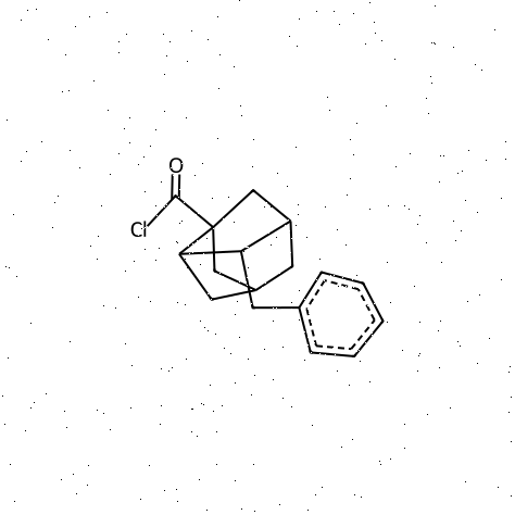 O=C(Cl)C12CC3CC(C1)C(Cc1ccccc1)C2C3